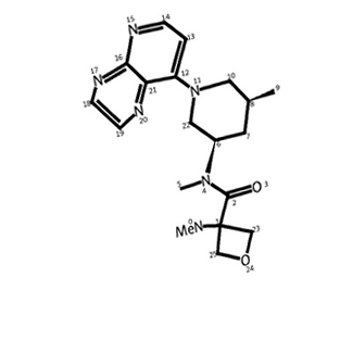 CNC1(C(=O)N(C)[C@@H]2C[C@H](C)CN(c3ccnc4nccnc34)C2)COC1